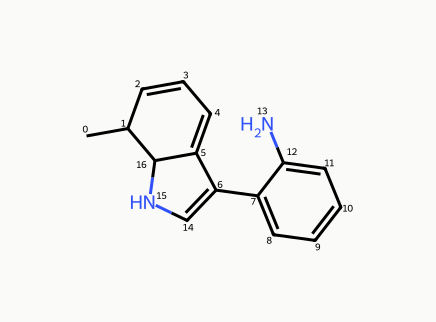 CC1C=CC=C2C(c3ccccc3N)=CNC21